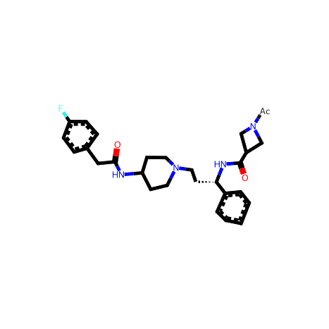 CC(=O)N1CC(C(=O)N[C@@H](CCN2CCC(NC(=O)Cc3ccc(F)cc3)CC2)c2ccccc2)C1